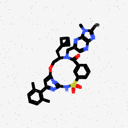 Cc1cccc(C)c1-c1cc2nc(n1)NS(=O)(=O)c1cccc(c1)C(=O)N(Cc1cnc3nc(C(C)C)n(C)c3n1)[C@H](CC13CC(C1)C3)CO2